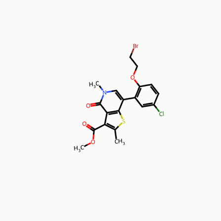 COC(=O)c1c(C)sc2c(-c3cc(Cl)ccc3OCCBr)cn(C)c(=O)c12